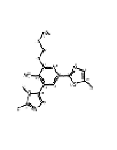 CCCCSCSc1nc(-c2ncc(C)s2)cc(-c2cnc(C)n2C)c1C#N